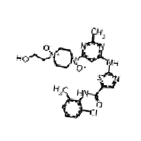 Cc1nc(Nc2ncc(C(=O)Nc3c(C)cccc3Cl)s2)cc([N+]2([O-])CC[N+]([O-])(CCO)CC2)n1